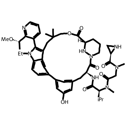 CCn1c(-c2cccnc2[C@H](C)OC)c2c3cc(ccc31)-c1cc(O)cc(c1)C[C@H](NC(=O)[C@H](C(C)C)N(C)C(=O)CN(C)C(=O)[C@H]1CN1)C(=O)N1CCC[C@H](N1)C(=O)OCC(C)(C)C2